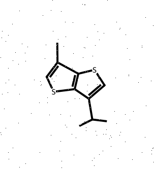 Cc1csc2c(C(C)C)csc12